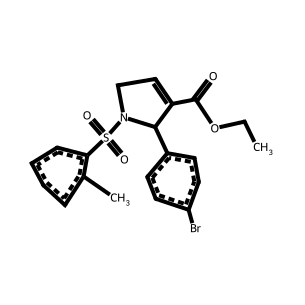 CCOC(=O)C1=CCN(S(=O)(=O)c2ccccc2C)C1c1ccc(Br)cc1